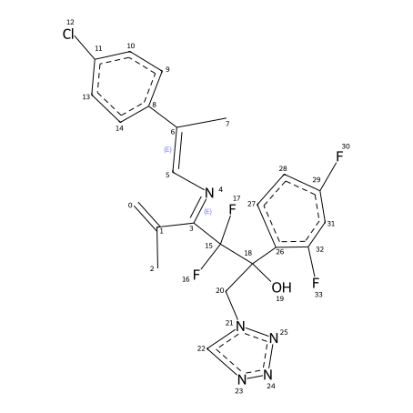 C=C(C)/C(=N\C=C(/C)c1ccc(Cl)cc1)C(F)(F)C(O)(Cn1cnnn1)c1ccc(F)cc1F